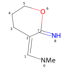 CN/C=C1/CCCOC1=N